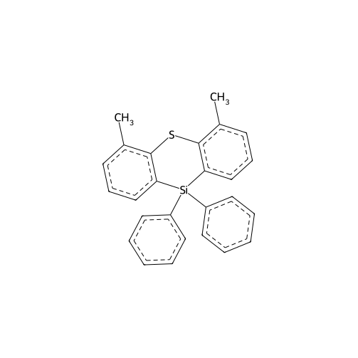 Cc1cccc2c1Sc1c(C)cccc1[Si]2(c1ccccc1)c1ccccc1